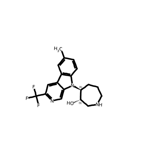 Cc1ccc2c(c1)c1cc(C(F)(F)F)ncc1n2[C@H]1CCCNC[C@@H]1O